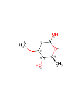 CO[C@H]1CC(O)O[C@@H](C)[C@@H]1O